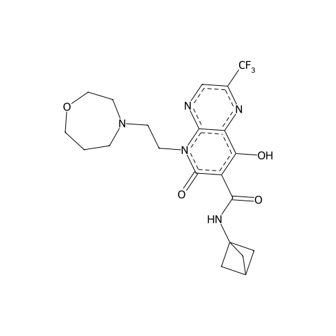 O=C(NC12CC(C1)C2)c1c(O)c2nc(C(F)(F)F)cnc2n(CCN2CCCOCC2)c1=O